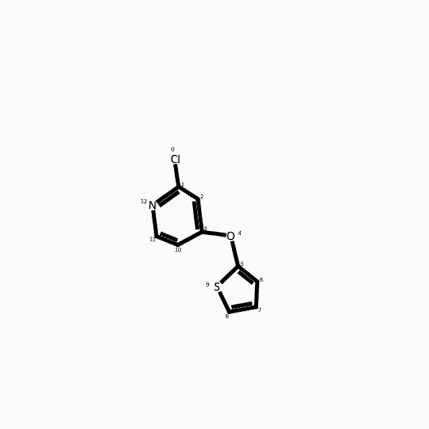 Clc1cc(Oc2cccs2)ccn1